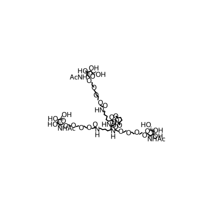 CC(=O)N[C@H]1C(OCCOCCOCCOCC(=O)NC(CCCCNC(=O)COCCOCCOCCOC2O[C@H](CO)C(O)[C@H](O)[C@H]2NC(C)=O)C(=O)NC(CCCCNC(=O)COCCOCCOCCOC2O[C@H](CO)C(O)[C@H](O)[C@H]2NC(C)=O)C(=O)ON2C(=O)CCC2=O)O[C@H](CO)[C@H](O)[C@@H]1O